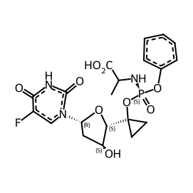 CC(N[P@](=O)(Oc1ccccc1)OC1([C@H]2O[C@@H](n3cc(F)c(=O)[nH]c3=O)C[C@@H]2O)CC1)C(=O)O